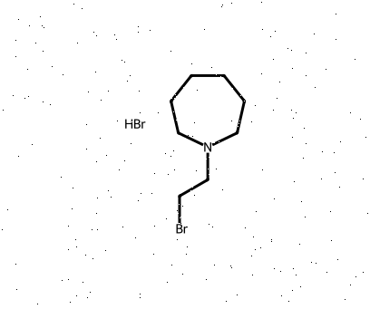 Br.BrCCN1CCCCCC1